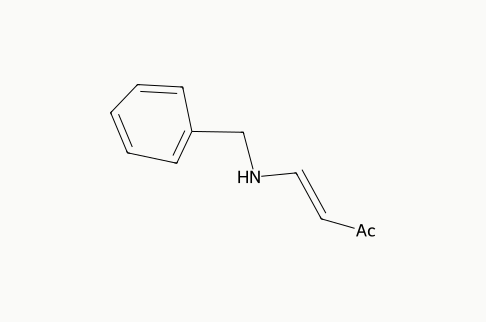 CC(=O)/C=C/NCc1ccccc1